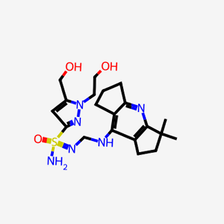 CC1(C)CCc2c1nc1c(c2NCN=S(N)(=O)c2cc(CO)n(CCO)n2)CCC1